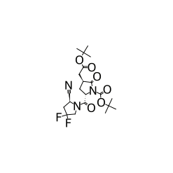 CC(C)(C)OC(=O)C[C@@H]1C[C@@H](C(=O)N2CC(F)(F)C[C@H]2C#N)N(C(=O)OC(C)(C)C)C1=O